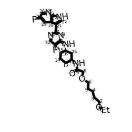 CCOCCCCCOCC(=O)N[C@@H]1CCC[C@H](Nc2nc(-c3c[nH]c4ncc(F)cc34)ncc2F)C1